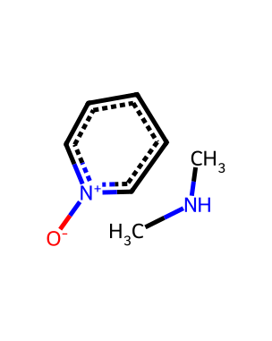 CNC.[O-][n+]1ccccc1